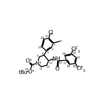 Cc1cc(C2CN(C(=O)OC(C)(C)C)CCC2NC(=O)c2cc(C(F)(F)F)cc(C(F)(F)F)c2)ccc1Cl